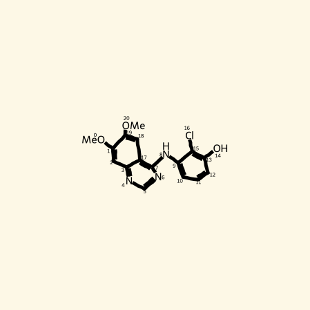 COc1cc2ncnc(Nc3cccc(O)c3Cl)c2cc1OC